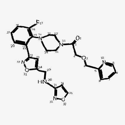 O=C(COCc1ccccn1)N1CCN(c2c(F)cccc2-c2cc(CNc3ccon3)on2)CC1